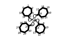 C1CCCC(O[Si](OC2CCCCCC2)(OC2CCCCCC2)OC2CCCCCC2)CC1